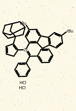 CC(C)(C)c1ccc2c(c1)-c1cc(C(C)(C)C)c[c]([Zr]([C]3=C(C45CC6CC(CC(C6)C4)C5)C=CC3)=[C](c3ccccc3)c3ccccc3)c1C2.Cl.Cl